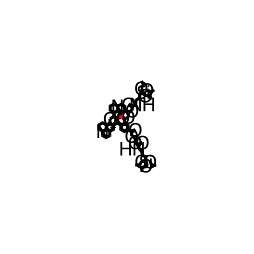 CCO[Si](CCCNC(=O)OCOC(=O)c1ccc(C2=c3cc4c5c(c3Oc3c2cc2c6c3CCCN6CCC2)CCC[N+]=5CCC4)c(C(=O)OCOC(=O)NCCC[Si](OCC)(OCC)OCC)c1)(OCC)OCC